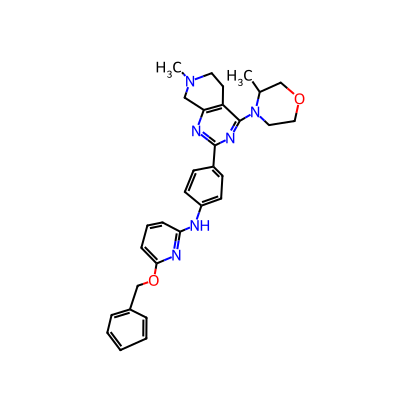 CC1COCCN1c1nc(-c2ccc(Nc3cccc(OCc4ccccc4)n3)cc2)nc2c1CCN(C)C2